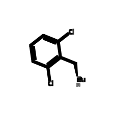 CC[C@H](C)Cc1c(Cl)cccc1Cl